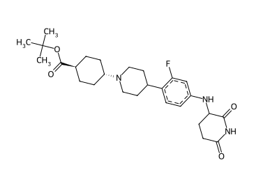 CC(C)(C)OC(=O)[C@H]1CC[C@H](N2CCC(c3ccc(NC4CCC(=O)NC4=O)cc3F)CC2)CC1